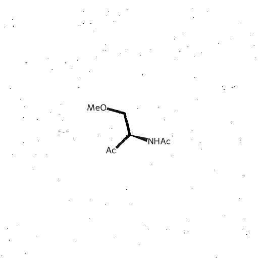 COC[C@@H](NC(C)=O)C(C)=O